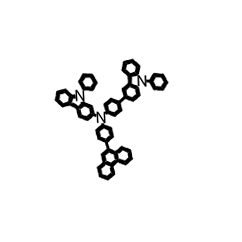 c1ccc(-n2c3ccccc3c3cc(-c4ccc(N(c5ccc(-c6cc7ccccc7c7ccccc67)cc5)c5ccc6c7ccccc7n(-c7ccccc7)c6c5)cc4)ccc32)cc1